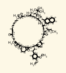 CCCC[C@H]1C(=O)N[C@@H](Cc2ccc3ccccc3c2)C(=O)N(C)[C@@H](COC(C)(C)C)C(=O)NCC(=O)N(C)CCCC/C=C/C(=O)OCC(C)(C)C(=O)C(=O)N2CCCC[C@H]2C(=O)O[C@H](CCc2ccc(OC)c(OC)c2)c2cncc(c2)OCC(=O)N1C